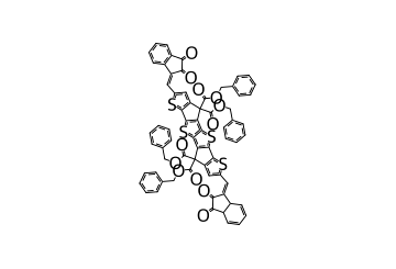 O=C1C(=O)c2ccccc2/C1=C/c1cc2c(s1)-c1sc3c4c(sc3c1C2(C(=O)OCc1ccccc1)C(=O)OCc1ccccc1)-c1sc(/C=C2\C(=O)C(=O)C3C=CC=CC23)cc1C4(C(=O)OCc1ccccc1)C(=O)OCc1ccccc1